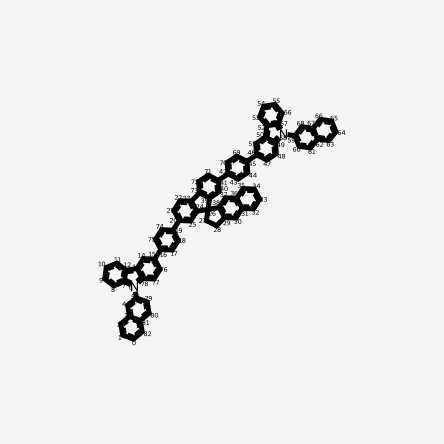 c1ccc2cc(-n3c4ccccc4c4cc(-c5ccc(-c6ccc7c(c6)C6(CCc8cc9ccccc9cc86)c6cc(-c8ccc(-c9ccc%10c(c9)c9ccccc9n%10-c9ccc%10ccccc%10c9)cc8)ccc6-7)cc5)ccc43)ccc2c1